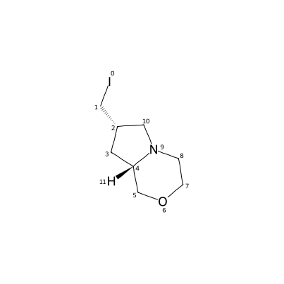 IC[C@H]1C[C@H]2COCCN2C1